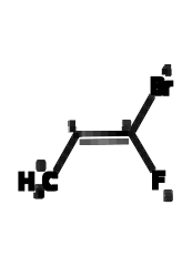 C/C=C(\F)Br